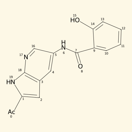 CC(=O)c1cc2cc(NC(=O)c3ccccc3O)cnc2[nH]1